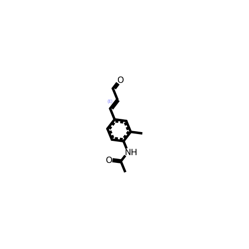 CC(=O)Nc1ccc(/C=C/C=O)cc1C